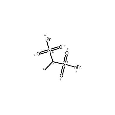 CCCS(=O)(=O)C(C)S(=O)(=O)C(C)C